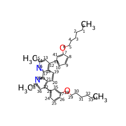 CCCCCCOc1cccc(-c2cc(C)nc3c2ccc2c(-c4cccc(OCCCCCC)c4)cc(C)nc23)c1